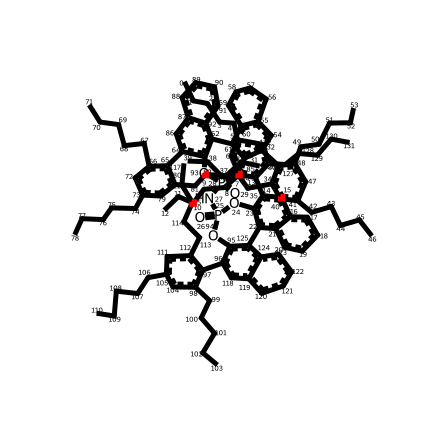 CCCCCc1cc(CCCCC)c(-c2cc3ccccc3c3c2OP(=O)(NP2(=O)Oc4c(-c5c(CCCCC)cc(CCCCC)cc5CCCCC)cc5ccccc5c4-c4c(c(-c5c(CCCCC)cc(CCCCC)cc5CCCCC)cc5ccccc45)O2)Oc2c(-c4c(CCCCC)cc(CCCCC)cc4CCCCC)cc4ccccc4c2-3)c(CCCCC)c1